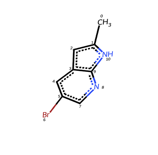 Cc1cc2cc(Br)cnc2[nH]1